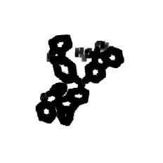 CC1(C)c2ccccc2-c2ccc(N(c3ccc4c(c3)C3(c5ccccc5Oc5ccccc53)c3ccccc3-4)c3ccc4sc5ccccc5c4c3)cc21